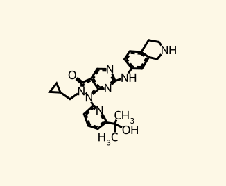 CC(C)(O)c1cccc(-n2c3nc(Nc4ccc5c(c4)CNCC5)ncc3c(=O)n2CC2CC2)n1